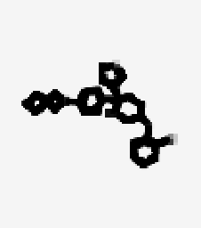 Clc1ccccc1SC1CCC(c2ccc(N3CC4(CCC4)C3)cc2)(c2ccsc2)NC1